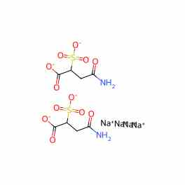 NC(=O)CC(C(=O)[O-])S(=O)(=O)[O-].NC(=O)CC(C(=O)[O-])S(=O)(=O)[O-].[Na+].[Na+].[Na+].[Na+]